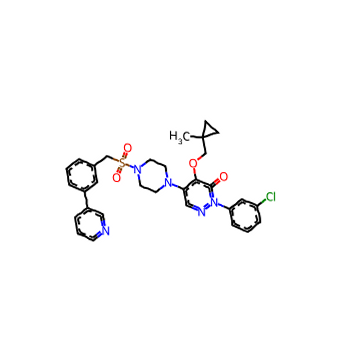 CC1(COc2c(N3CCN(S(=O)(=O)Cc4cccc(-c5cccnc5)c4)CC3)cnn(-c3cccc(Cl)c3)c2=O)CC1